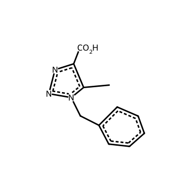 Cc1c(C(=O)O)nnn1Cc1ccccc1